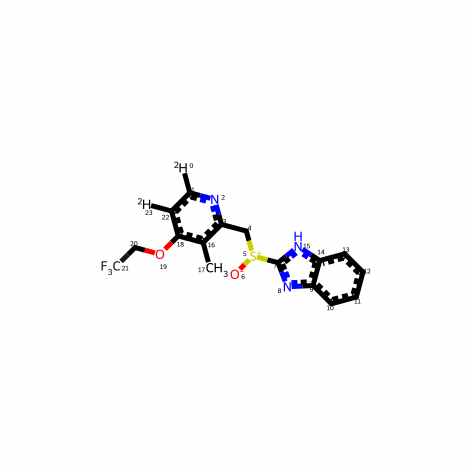 [2H]c1nc(C[S+]([O-])c2nc3ccccc3[nH]2)c(C)c(OCC(F)(F)F)c1[2H]